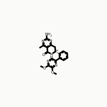 COc1ncc(-c2ccccc2[C@H]2Cc3nc(N)nc(C)c3C(=O)N2)nc1OC